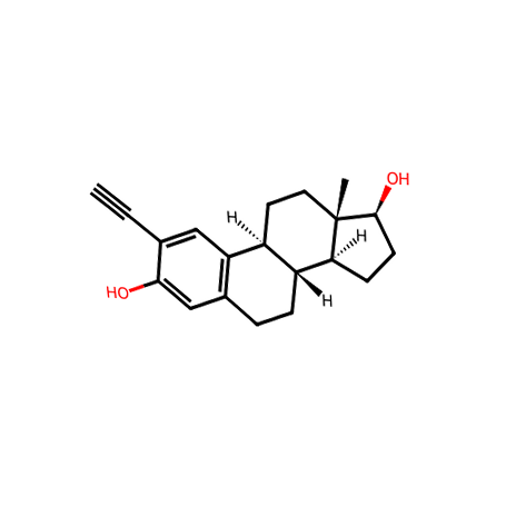 C#Cc1cc2c(cc1O)CC[C@@H]1[C@@H]2CC[C@]2(C)[C@@H](O)CC[C@@H]12